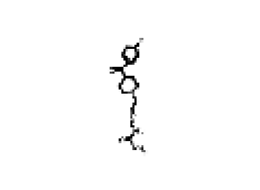 NC(=O)NCCCCN1CCC(C(=O)c2ccc(F)cc2)CC1